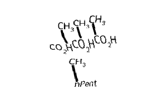 CC(=O)O.CC(=O)O.CC(=O)O.CCCCCC